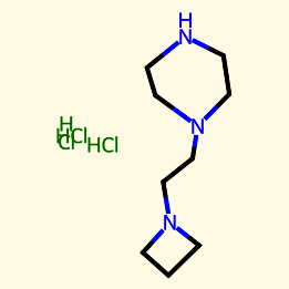 C1CN(CCN2CCNCC2)C1.Cl.Cl.Cl